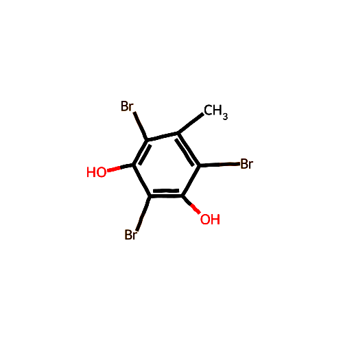 Cc1c(Br)c(O)c(Br)c(O)c1Br